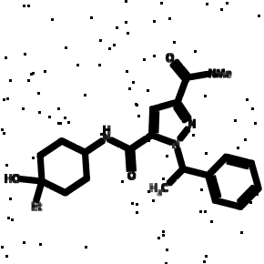 CCC1(O)CCC(NC(=O)c2cc(C(=O)NC)nn2C(C)c2ccccc2)CC1